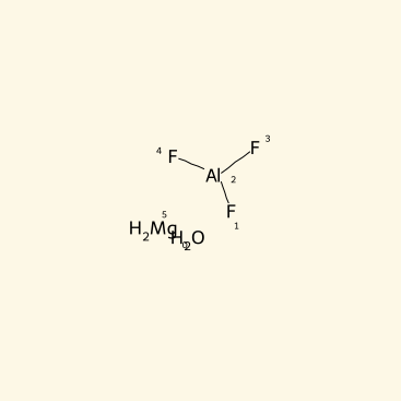 O.[F][Al]([F])[F].[MgH2]